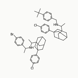 CC(NC(C)C12CC3CC(CC(c4ccc(Cl)cc4)(C3)C1)C2)c1ccc(Br)cc1.CC(NCc1ccc(C(C)(C)C)cc1)C12CC3CC(CC(c4ccc(Cl)cc4)(C3)C1)C2